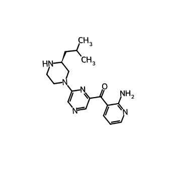 CC(C)C[C@H]1CN(c2cncc(C(=O)c3cccnc3N)n2)CCN1